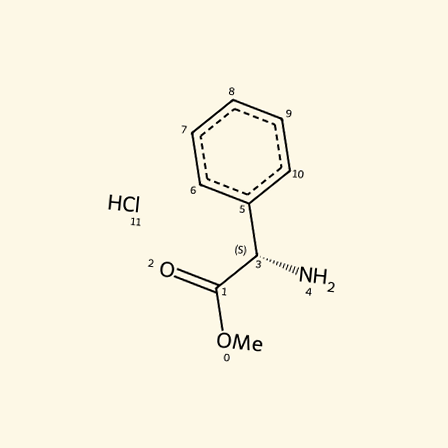 COC(=O)[C@@H](N)c1ccccc1.Cl